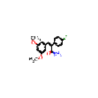 COc1cc(/C=C(\C(N)=O)c2ccc(F)cc2)cc(OC)c1